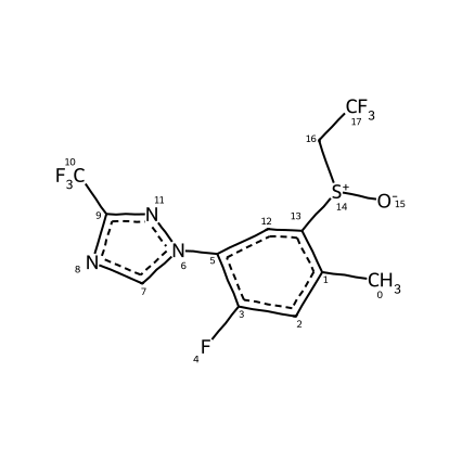 Cc1cc(F)c(-n2cnc(C(F)(F)F)n2)cc1[S+]([O-])CC(F)(F)F